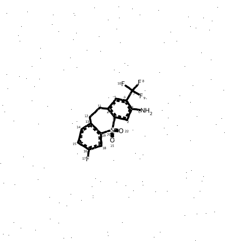 Nc1cc2c(cc1C(F)(F)F)CCc1ccc(F)cc1S2(=O)=O